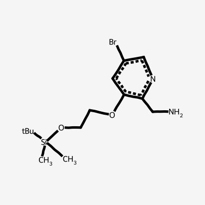 CC(C)(C)[Si](C)(C)OCCOc1cc(Br)cnc1CN